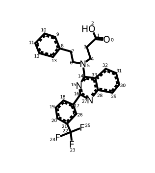 O=C(O)CCN(CCc1ccccc1)c1nc(-c2cccc(C(F)(F)F)c2)nc2ccccc12